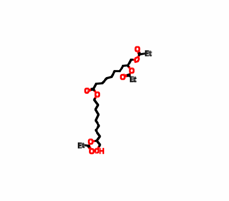 CCC(=O)OCC(CCCCCCCC(=O)OCCCCCCCCC(CO)OC(=O)CC)OC(=O)CC